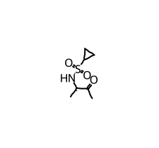 C[C](NS(=O)(=O)C1CC1)C(C)=O